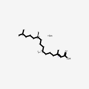 C/C(=C\C(=O)O)CCC[C@H](C)CCC[C@H](C)CCCC(C)C.[Sm]